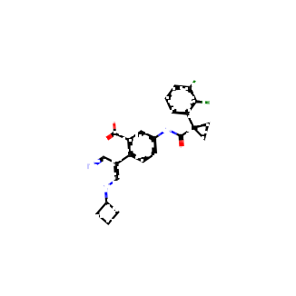 N=C/C(=C\NC1CCC1)c1ccc(NC(=O)C2(c3cccc(Cl)c3F)CC2)cc1C(=O)O